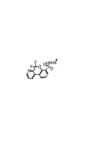 C=NNS(=O)(=O)c1cccc(-c2cccnc2)c1OC(F)(F)F